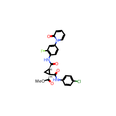 COC(=O)[C@]1(C(=O)Nc2ccc(Cl)cc2)C[C@H]1C(=O)Nc1ccc(-n2ccccc2=O)cc1F